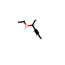 [CH2]C#CC(C)OCC